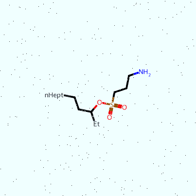 CCCCCCCCCC(CC)OS(=O)(=O)CCCN